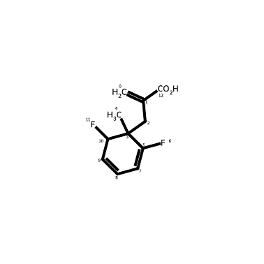 C=C(CC1(C)C(F)=CC=CC1F)C(=O)O